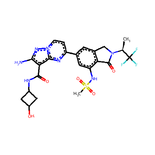 C[C@H](N1Cc2cc(-c3ccn4nc(N)c(C(=O)NC5CC(O)C5)c4n3)cc(NS(C)(=O)=O)c2C1=O)C(F)(F)F